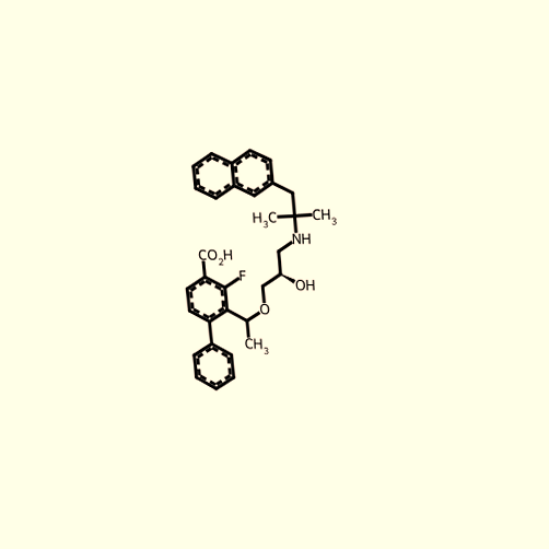 CC(OC[C@H](O)CNC(C)(C)Cc1ccc2ccccc2c1)c1c(-c2ccccc2)ccc(C(=O)O)c1F